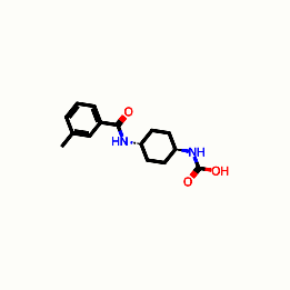 Cc1cccc(C(=O)N[C@H]2CC[C@H](NC(=O)O)CC2)c1